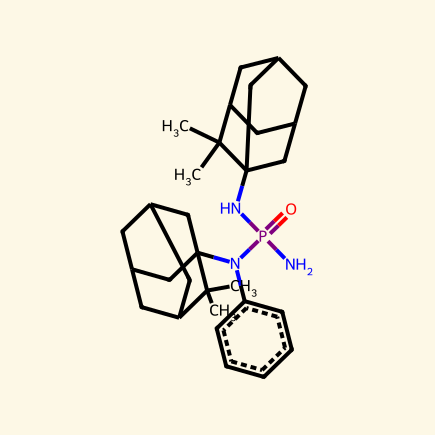 CC1(C)C2CC3CC(C2)CC1(NP(N)(=O)N(c1ccccc1)C12CC4CC(CC(C4)C1(C)C)C2)C3